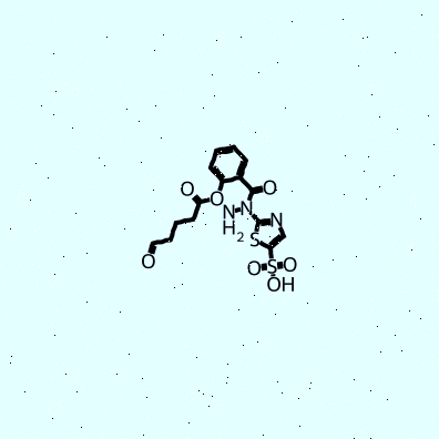 NN(C(=O)c1ccccc1OC(=O)CCCC=O)c1ncc(S(=O)(=O)O)s1